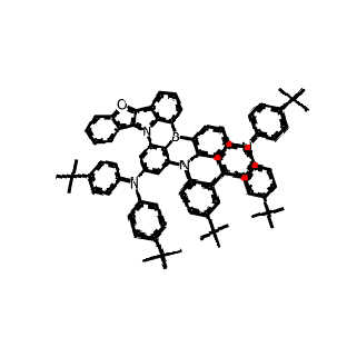 CC(C)(C)c1ccc(N(c2ccc(C(C)(C)C)cc2)c2ccc3c(c2)N(c2ccc(C(C)(C)C)cc2-c2ccccc2)c2cc(N(c4ccc(C(C)(C)C)cc4)c4ccc(C(C)(C)C)cc4)cc4c2B3c2cccc3c5oc6ccccc6c5n-4c23)cc1